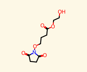 O=C(CCCON1C(=O)CCC1=O)OCCO